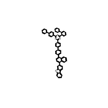 c1ccc(-c2ccc(-c3nc(-c4ccc(-c5ccc(-c6ccc(-c7ccc8c(c7)oc7ccccc78)c7ccccc67)cc5)cc4)nc(-c4ccccc4-c4ccccc4)n3)cc2)cc1